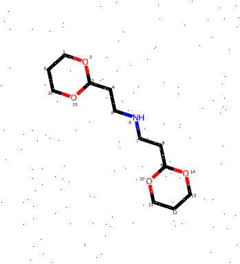 C1COC(CCNCCC2OCCCO2)OC1